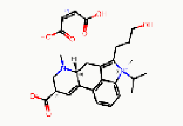 CC(C)[N@+]1(C)C(CCCO)=C2C[C@@H]3C(=C[C@@H](C(=O)[O-])CN3C)c3cccc1c32.O=C(O)/C=C\C(=O)O